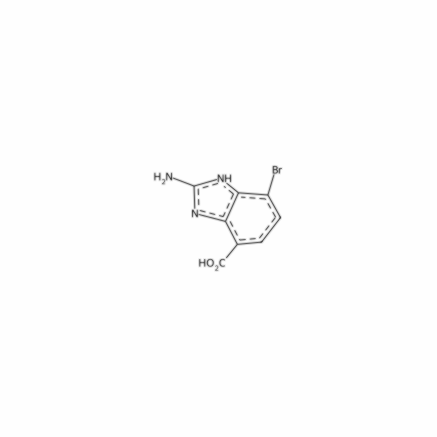 Nc1nc2c(C(=O)O)ccc(Br)c2[nH]1